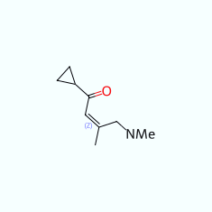 CNC/C(C)=C\C(=O)C1CC1